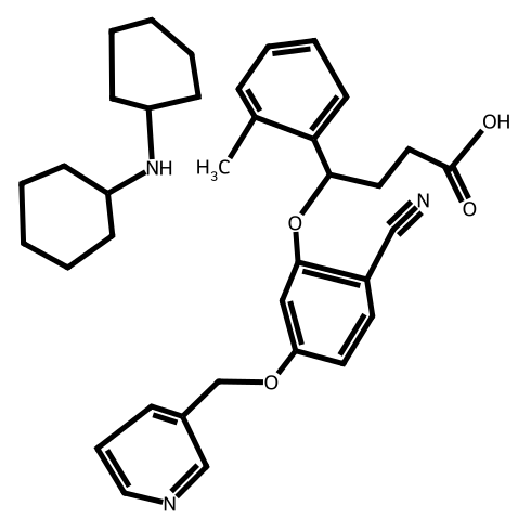 C1CCC(NC2CCCCC2)CC1.Cc1ccccc1C(CCC(=O)O)Oc1cc(OCc2cccnc2)ccc1C#N